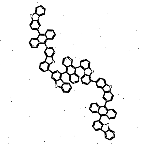 c1ccc2c(c1)oc1ccc(-c3c4ccccc4c(-c4ccc5oc6c(-c7cc(-c8c9ccccc9c(-c9cccc%10oc%11c(-c%12ccc%13oc%14ccc(-c%15c%16ccccc%16c(-c%16cccc%17c%16oc%16ccccc%16%17)c%16ccccc%15%16)cc%14c%13c%12)cccc%11c9%10)c9ccccc89)c8c(c7)oc7ccccc78)cccc6c5c4)c4ccccc34)cc12